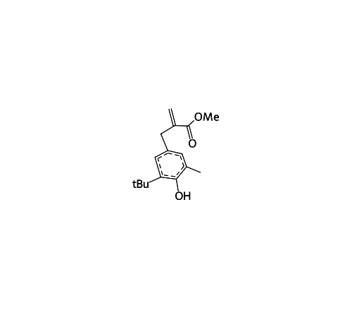 C=C(Cc1cc(C)c(O)c(C(C)(C)C)c1)C(=O)OC